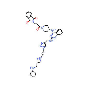 O=C(CCN1C(=O)c2ccccc2C1=O)N1CCC(Nc2nc(NCc3cn(CCCNCCCNC4CCCCC4)nn3)nc3ccccc23)CC1